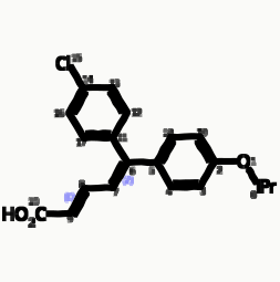 CC(C)Oc1ccc(/C(=C/C=C/C(=O)O)c2ccc(Cl)cc2)cc1